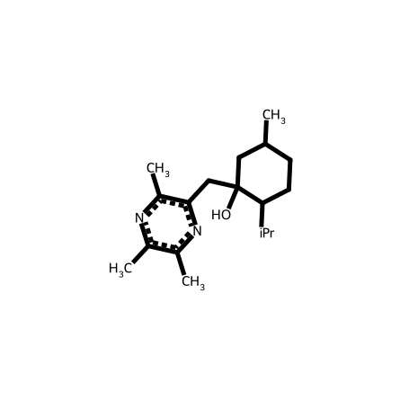 Cc1nc(C)c(CC2(O)CC(C)CCC2C(C)C)nc1C